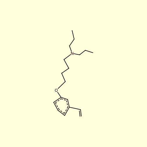 C=Cc1cccc(OCCCCN(CCC)CCC)c1